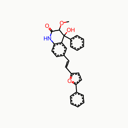 COC1C(=O)Nc2ccc(C=Cc3ccc(-c4ccccc4)o3)cc2C1(O)c1ccccc1